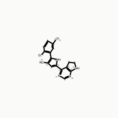 CCc1ccc(C(F)(F)F)cc1-c1[nH]c(-c2ncnc3c2CCN3)cc1C#N